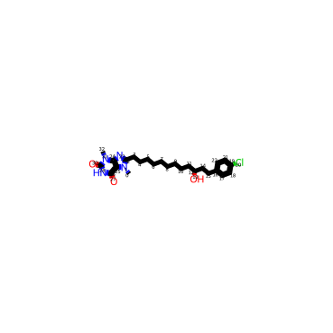 Cn1c(CCCCCCCCCC(O)CCc2ccc(Cl)cc2)nc2c1c(=O)[nH]c(=O)n2C